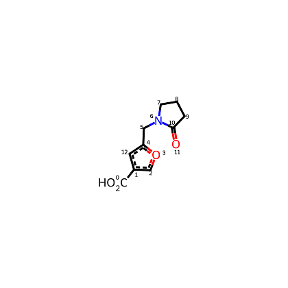 O=C(O)c1coc(CN2CCCC2=O)c1